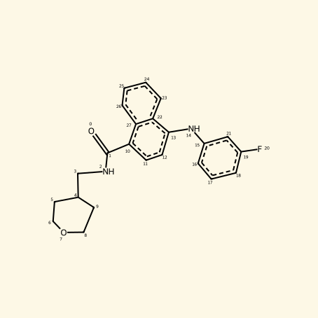 O=C(NCC1CCOCC1)c1ccc(Nc2cccc(F)c2)c2ccccc12